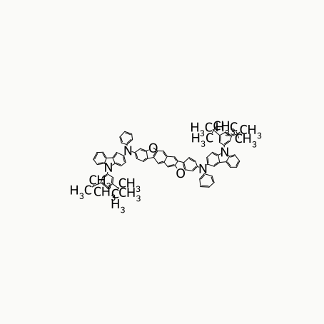 CC(C)(C)c1cc(-n2c3ccccc3c3cc(N(c4ccccc4)c4ccc5c(c4)oc4cc6cc7c(cc6cc45)oc4cc(N(c5ccccc5)c5ccc6c(c5)c5ccccc5n6-c5cc(C(C)(C)C)cc(C(C)(C)C)c5)ccc47)ccc32)cc(C(C)(C)C)c1